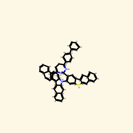 C1=C(c2cccc3ccccc23)N=C(c2cc3c(cc2-n2c4ccccc4c4cc5ccccc5cc42)sc2cc4ccccc4cc23)N=C(c2ccc(-c3ccccc3)cc2)C1